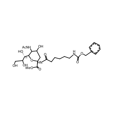 COC(=O)C1(NC(=O)CCCCCNC(=O)OCc2ccccc2)CC(O)C(NC(C)=O)C([C@@H](O)C(O)CO)O1